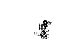 O=C(N[C@@H]1C[C@@H](C(=O)O)N(C(=O)O)C1)c1cc2c(Br)cccc2[nH]1